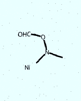 CN(C)OC=O.[Ni]